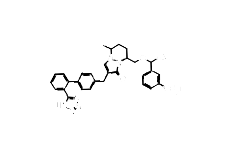 CCCCC(OCC1CCC(C)n2cc(Cc3ccc(-c4ccccc4-c4nnn[nH]4)cc3)c(=O)n21)c1cccc(C(=O)OCC)c1